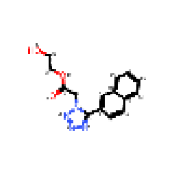 O=C(Cn1nnnc1-c1ccc2ccccc2c1)OCCO